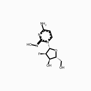 Nc1ccn([C@@H]2O[C@H](CO)[C@@H](O)[C@H]2F)/c(=N/O)n1